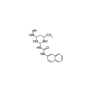 CCCNC1CC(C)NC(NC(=O)Nc2ccc3ccccc3c2)N1